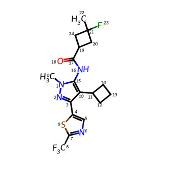 Cn1nc(-c2cnc(C(F)(F)F)s2)c(C2CCC2)c1NC(=O)C1CC(C)(F)C1